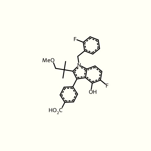 COCC(C)(C)c1c(-c2ccc(C(=O)O)cc2)c2c(O)c(F)ccc2n1Cc1ccccc1F